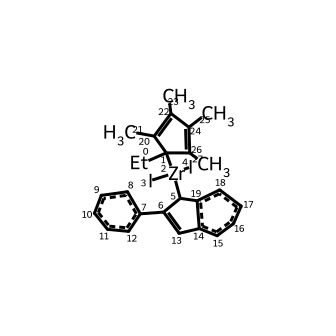 CC[C]1([Zr]([I])([I])[CH]2C(c3ccccc3)=Cc3ccccc32)C(C)=C(C)C(C)=C1C